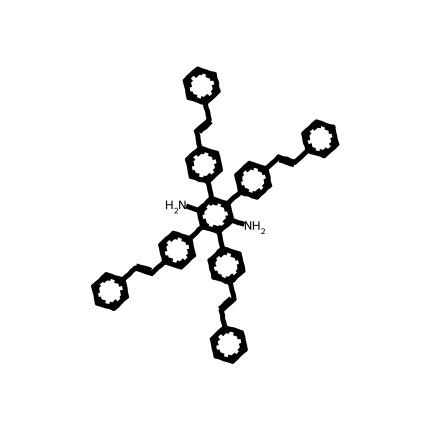 Nc1c(-c2ccc(C=Cc3ccccc3)cc2)c(-c2ccc(C=Cc3ccccc3)cc2)c(N)c(-c2ccc(C=Cc3ccccc3)cc2)c1-c1ccc(C=Cc2ccccc2)cc1